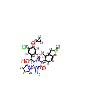 NC(=O)C1c2ccc3sc(Cl)cc3c2CON1[C@H](CN1CCCC1)[C@H](O)c1ccc(OC2CC2)c(Cl)c1